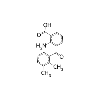 Cc1cccc(C(=O)c2cccc(C(=O)O)c2N)c1C